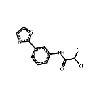 O=C(Nc1cccc(-c2nccs2)c1)C(Cl)Cl